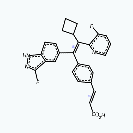 O=C(O)/C=C/c1ccc(/C(=C(\c2ncccc2F)C2CCC2)c2ccc3[nH]nc(F)c3c2)cc1